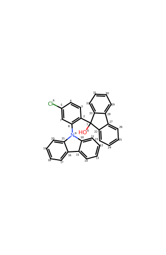 OC1(c2ccc(Cl)cc2-n2c3ccccc3c3ccccc32)c2ccccc2-c2ccccc21